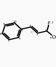 [O]C(F)/C=C/c1ccccc1